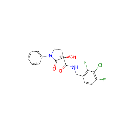 O=C(NCc1ccc(F)c(Cl)c1F)[C@@]1(O)CCN(c2ccccc2)C1=O